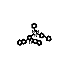 c1ccc(-c2ccc(-c3nc(-c4ccccc4)nc(-c4ccc(-c5ccc6ccccc6c5)c5oc6cc7ccccc7cc6c45)n3)cc2)cc1